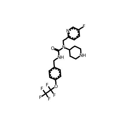 O=C(NCc1ccc(OC(F)(F)C(F)(F)F)cc1)N(Cc1ccc(F)cn1)C1CCNCC1